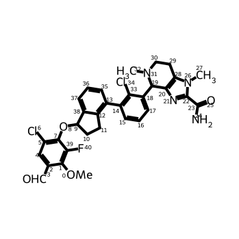 COc1c(C=O)cc(Cl)c(OC2CCc3c(-c4cccc(C5c6nc(C(N)=O)n(C)c6CCN5C)c4Cl)cccc32)c1F